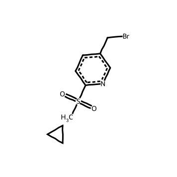 C1CC1.CS(=O)(=O)c1ccc(CBr)cn1